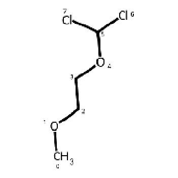 COCCOC(Cl)Cl